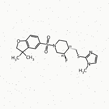 Cn1ccnc1SC[C@H]1CCN(S(=O)(=O)c2ccc3c(c2)C(C)(C)CO3)C[C@@H]1F